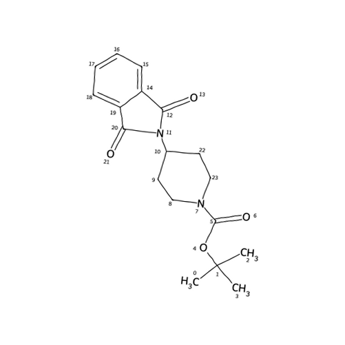 CC(C)(C)OC(=O)N1CCC(N2C(=O)c3ccccc3C2=O)CC1